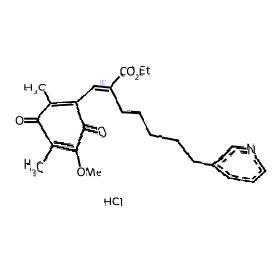 CCOC(=O)/C(=C/C1=C(C)C(=O)C(C)=C(OC)C1=O)CCCCCc1cccnc1.Cl